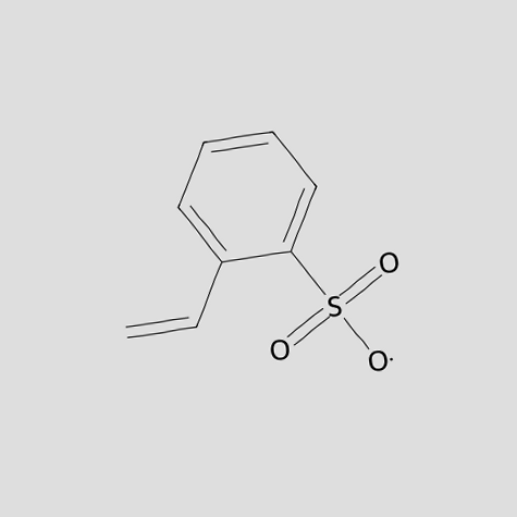 C=Cc1ccccc1S([O])(=O)=O